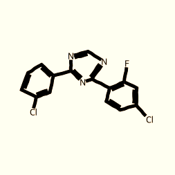 Fc1cc(Cl)ccc1-c1ncnc(-c2cccc(Cl)c2)n1